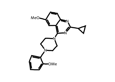 COc1ccc2nc(C3CC3)nc(N3CCN(c4ccccc4OC)CC3)c2c1